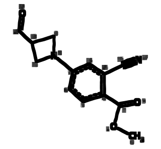 COC(=O)c1ccc(N2CC(C=O)C2)cc1C#N